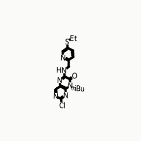 CCSc1ccc(CNc2nc3cnc(Cl)nc3n([C@@H](C)CC)c2=O)nc1